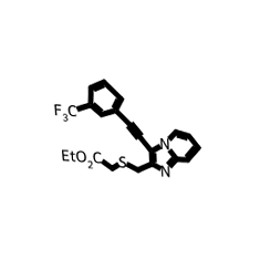 CCOC(=O)CSCc1nc2ccccn2c1C#Cc1cccc(C(F)(F)F)c1